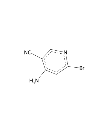 N#Cc1cnc(Br)cc1N